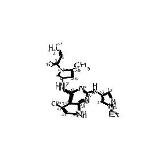 C=CC(=O)N1C[C@H](Nc2nc(Nc3cnn(CC)c3)nc3[nH]cc(Cl)c23)C[C@@H]1C